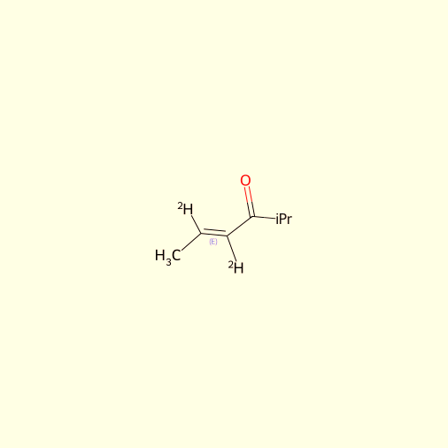 [2H]/C(C)=C(/[2H])C(=O)C(C)C